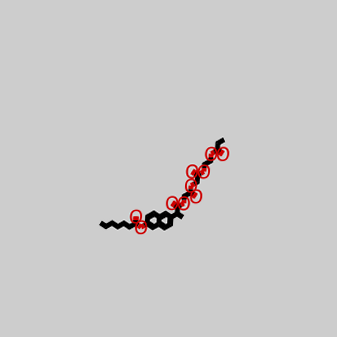 CCCCCCC(=O)Oc1ccc2cc(C(C)C(=O)OCC(=O)OCC(=O)OCCOC(=O)CC)ccc2c1